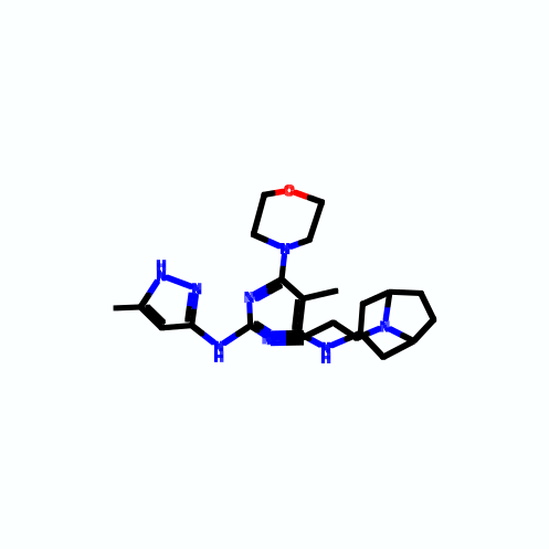 Cc1cc(Nc2nc(NC3CC4CCC(C3)N4CCC#N)c(C)c(N3CCOCC3)n2)n[nH]1